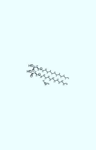 CCCCCCCCCCCCOC=CC(=O)O.CCCCCCCCCCCCOC=CC(=O)O.C[Si]C